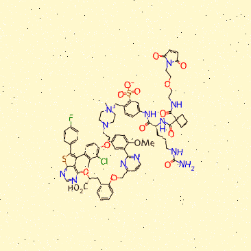 COc1ccccc1-c1nccc(COc2ccccc2C[C@@H](Oc2ncnc3sc(-c4ccc(F)cc4)c(-c4ccc(OCCN5CC[N+](C)(Cc6ccc(NC(=O)[C@H](CCCNC(N)=O)NC(=O)C7(C(=O)NCCOCCN8C(=O)C=CC8=O)CCC7)cc6S(=O)(=O)[O-])CC5)c(Cl)c4C)c23)C(=O)O)n1